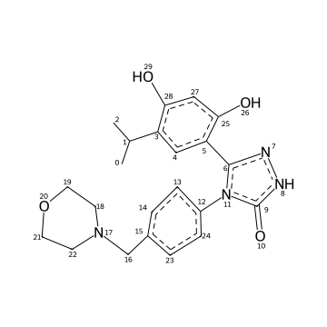 CC(C)c1cc(-c2n[nH]c(=O)n2-c2ccc(CN3CCOCC3)cc2)c(O)cc1O